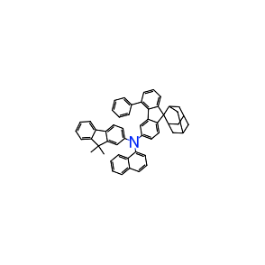 CC1(C)c2ccccc2-c2ccc(N(c3ccc4c(c3)-c3c(-c5ccccc5)cccc3C43C4CC5CC(C4)CC3C5)c3cccc4ccccc34)cc21